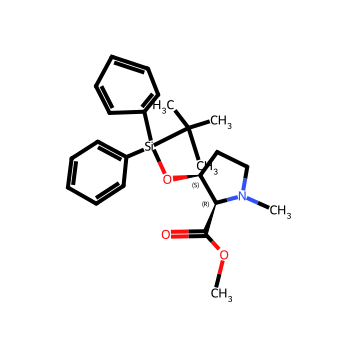 COC(=O)[C@H]1[C@@H](O[Si](c2ccccc2)(c2ccccc2)C(C)(C)C)CCN1C